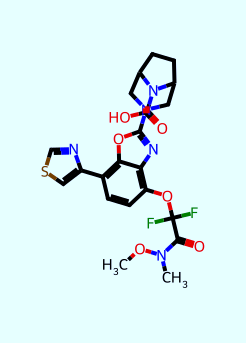 CON(C)C(=O)C(F)(F)Oc1ccc(-c2cscn2)c2oc(N3CC4CCC(C3)N4C(=O)O)nc12